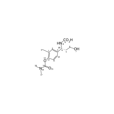 Cc1cc([C@@H](CCO)NC(=O)O)ccc1OC(=O)N(C)C